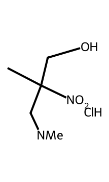 CNCC(C)(CO)[N+](=O)[O-].Cl